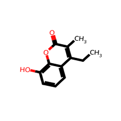 CCc1c(C)c(=O)oc2c(O)cccc12